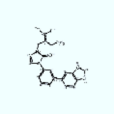 NCC(Cn1ncn(-c2cccc(-c3ccc4c(c3)OCO4)c2)c1=O)=C(F)F